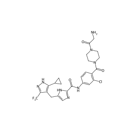 NCC(=O)N1CCN(C(=O)c2ccc(NC(=O)c3ncc(Cc4c(C(F)(F)F)n[nH]c4C4CC4)[nH]3)cc2Cl)CC1